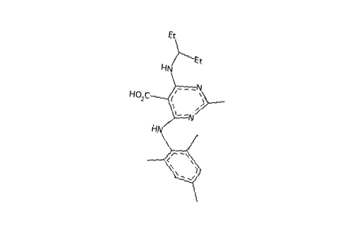 CCC(CC)Nc1nc(C)nc(Nc2c(C)cc(C)cc2C)c1C(=O)O